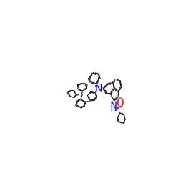 c1ccc(-c2nc3c(o2)-c2cccc4cc(N(c5ccccc5)c5ccc6c(c5)C(c5ccccc5)(c5ccccc5)c5ccccc5-6)cc-3c24)cc1